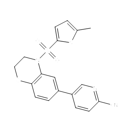 Cc1ccc(S(=O)(=O)N2CCOc3ccc(-c4ccc(C#N)nc4)cc32)s1